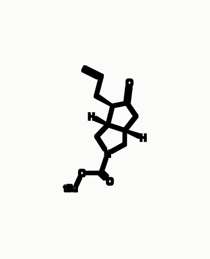 C=CC[C@H]1C(=O)C[C@@H]2CN(C(=O)OC(C)(C)C)C[C@@H]21